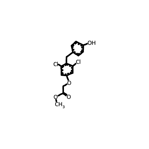 COC(=O)COc1cc(Cl)c(Cc2ccc(O)cc2)c(Cl)c1